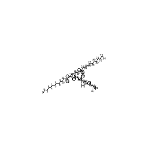 CCCCCCCCCCCCC(=O)OCCN(CCOC(=O)CCCCCCCCCCCC)C(=O)C=CC(=O)NCCOCCN(C)C